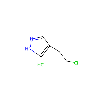 Cl.ClCCc1cn[nH]c1